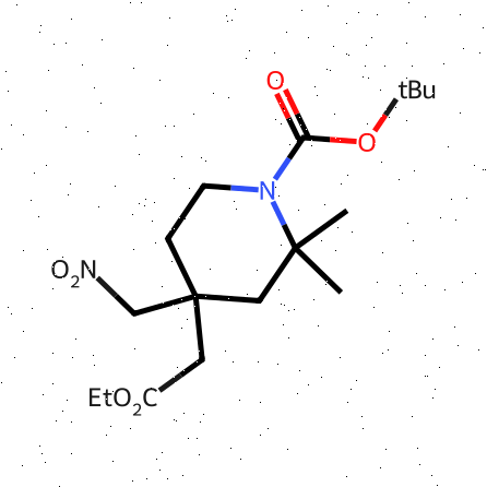 CCOC(=O)CC1(C[N+](=O)[O-])CCN(C(=O)OC(C)(C)C)C(C)(C)C1